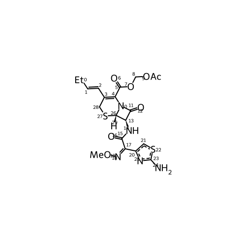 CC/C=C/C1=C(C(=O)OCOC(C)=O)N2C(=O)[C@@H](NC(=O)/C(=N\OC)c3csc(N)n3)[C@@H]2SC1